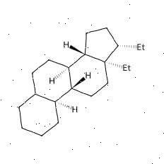 CC[C@H]1CC[C@H]2[C@@H]3CCC4CCCC[C@@H]4[C@H]3CC[C@]12CC